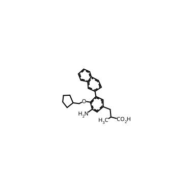 CC(Cc1cc(N)c(OCC2CCCC2)c(-c2ccc3ccccc3c2)c1)C(=O)O